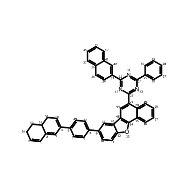 C1=CC2=CC(c3ccc(-c4ccc5oc6c7ccccc7c(-c7nc(-c8ccccc8)nc(-c8ccc9ccccc9c8)n7)cc6c5c4)cc3)=CCC2CC1